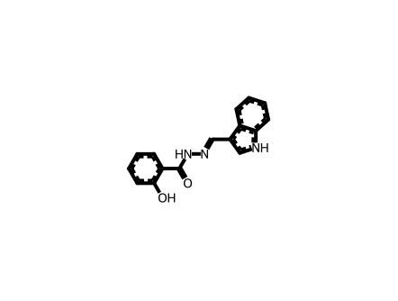 O=C(N/N=C/c1c[nH]c2ccccc12)c1ccccc1O